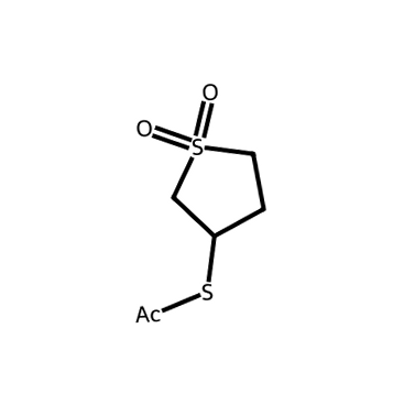 CC(=O)SC1CCS(=O)(=O)C1